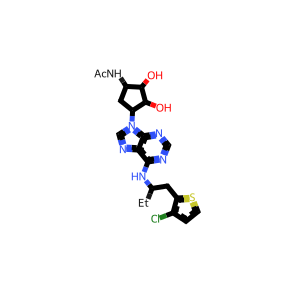 CCC(Cc1sccc1Cl)Nc1ncnc2c1ncn2C1CC(NC(C)=O)C(O)C1O